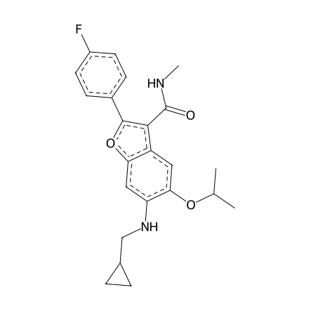 CNC(=O)c1c(-c2ccc(F)cc2)oc2cc(NCC3CC3)c(OC(C)C)cc12